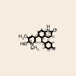 CC1=CC(c2ccc3c(c2Cc2ccc(F)cc2)CCC(=O)N3)=CN(C)C1O